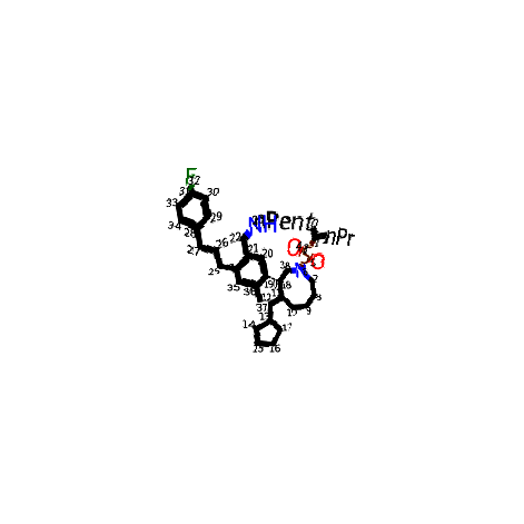 CCCCCC(CCC)S(=O)(=O)N1CCCCC(CC2CCCC2)[C@H](c2cc(C=N)c(CCCc3ccc(F)cc3)cc2C)C1